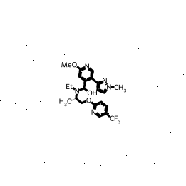 CCN(C(O)c1cc(OC)ncc1-c1ccn(C)n1)[C@@H](C)COc1ccc(C(F)(F)F)cn1